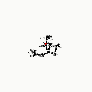 COSP(=O)(O)OCCCCOCC(COCCCOP(=O)(S)OCCCCOC1OC(CO)C(O)C(O)C1NC(C)=O)(COCCCOP(=O)(S)OCCCCOC(OC(CO)[C@@H](C)O)[C@H](CO)NC(C)=O)COCCCOP(=O)(OCCCCOC1OC(CO)C(O)C(O)C1NC(C)=O)SOC